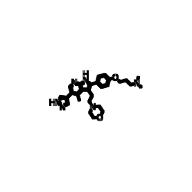 Cc1c(-c2cn[nH]c2)cnc2[nH]c(-c3ccc(OCCCN(C)C)cc3)c(CCN3CCOCC3)c12